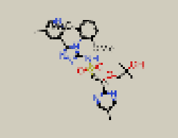 COc1cccc(OC)c1-n1c(NS(=O)(=O)[C@@H](C)[C@@H](OCC(C)(C)O)c2ncc(C)cn2)nnc1-c1cncc(C)c1